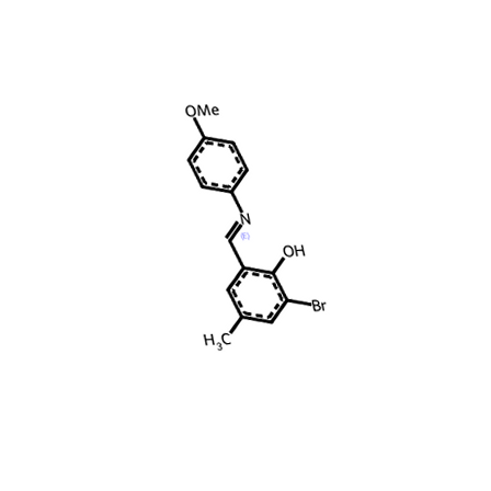 COc1ccc(/N=C/c2cc(C)cc(Br)c2O)cc1